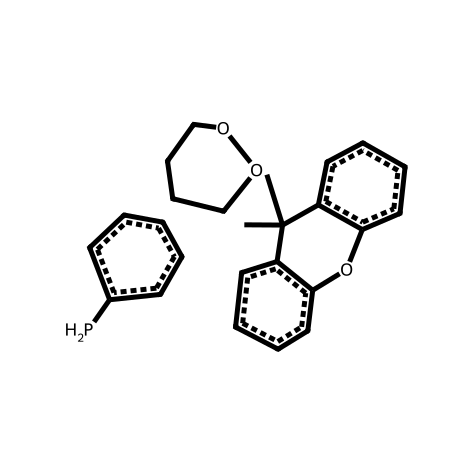 C1CCOOC1.CC1(C)c2ccccc2Oc2ccccc21.Pc1ccccc1